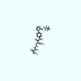 CC(C)(C)[Si](C)(C)OCc1nccn1-c1ccc(NC(=O)[C@@H](N)CCCNC(N)=O)cc1